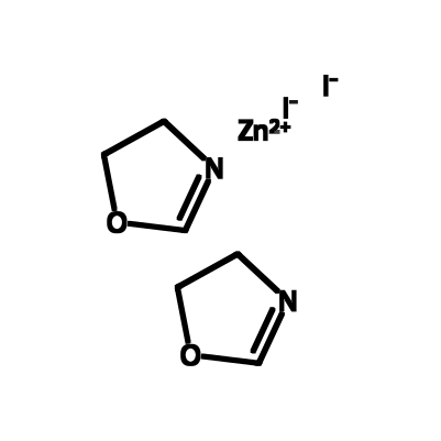 C1=NCCO1.C1=NCCO1.[I-].[I-].[Zn+2]